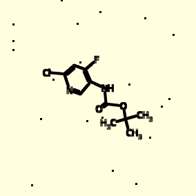 CC(C)(C)OC(=O)Nc1cnc(Cl)cc1F